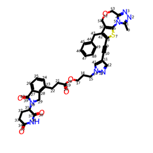 Cc1nnc2n1-c1sc(C#Cc3cnn(CCCOC(=O)CCc4cccc5c4CN(C4CCC(=O)NC4=O)C5=O)c3)c(Cc3ccccc3)c1COC2